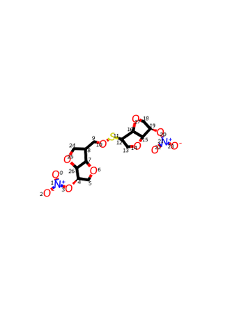 O=[N+]([O-])O[C@@H]1COC2C(COSC3COC4C3OC[C@H]4O[N+](=O)[O-])COC21